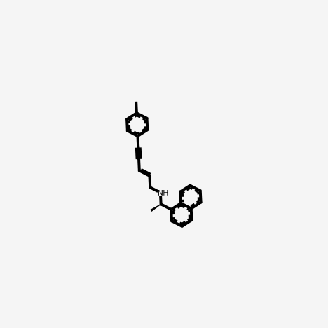 Cc1ccc(C#C/C=C/CN[C@H](C)c2cccc3ccccc23)cc1